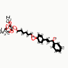 CO[Si](OC)(OC)OCCCCCCOc1ccc(/C=C/C(=O)c2ccccc2)cc1